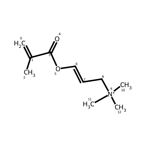 C=C(C)C(=O)OC=CC[N+](C)(C)C